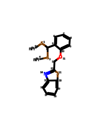 CCCSC(SCCC)c1ccccc1OCc1nc2ccccc2s1